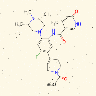 CC(C)COC(=O)N1CC=C(c2cc(NC(=O)c3c[nH]c(=O)cc3C(F)(F)F)c(N3C[C@@H](C)N(C)[C@@H](C)C3)cc2F)CC1